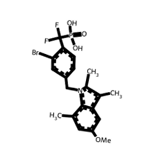 COc1cc(C)c2c(c1)c(C)c(C)n2Cc1ccc(C(F)(F)P(=O)(O)O)c(Br)c1